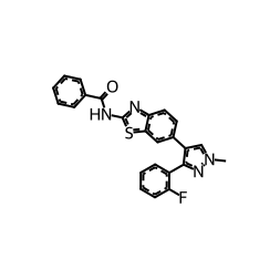 Cn1cc(-c2ccc3nc(NC(=O)c4ccccc4)sc3c2)c(-c2ccccc2F)n1